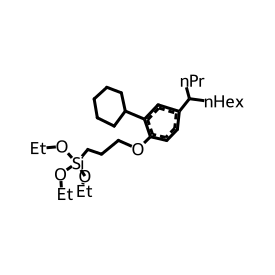 CCCCCCC(CCC)c1ccc(OCCC[Si](OCC)(OCC)OCC)c(C2CCCCC2)c1